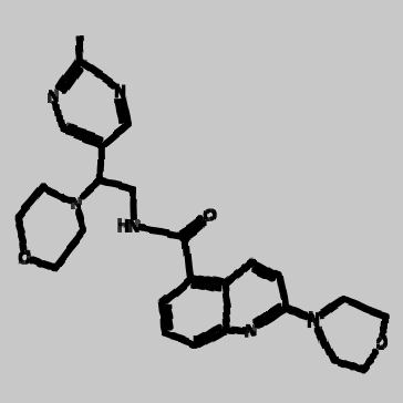 Cc1ncc(C(CNC(=O)c2cccc3nc(N4CCOCC4)ccc23)N2CCOCC2)cn1